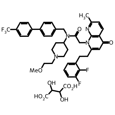 COCCN1CCC(N(Cc2ccc(-c3ccc(C(F)(F)F)cc3)cc2)C(=O)Cn2c(CCc3cccc(F)c3F)cc(=O)c3ccc(C)nc32)CC1.O=C(O)C(O)C(O)C(=O)O